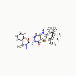 C[C@@H]1[C@@H](C)C(C)(C)[C@@H](C)C[C@H]1Nc1cnn(CC(=O)NC(C#N)c2ccccc2)c(=O)c1Br